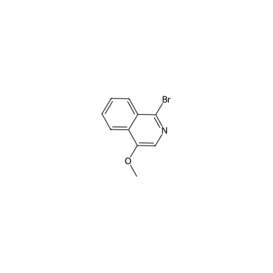 COc1cnc(Br)c2ccccc12